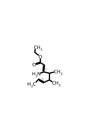 C/C=C/C(C)C(C)/C(N)=C/C(=O)OCC